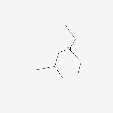 C[CH]N(CC)CC(C)C